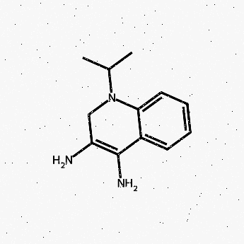 CC(C)N1CC(N)=C(N)c2ccccc21